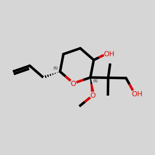 C=CC[C@@H]1CCC(O)[C@](OC)(C(C)(C)CO)O1